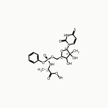 CC(C)OC(=O)[C@H](C)NP(=O)(OC[C@H]1O[C@@H](n2ccc(=S)[nH]c2=O)[C@](C)(O)C1O)Oc1ccccc1